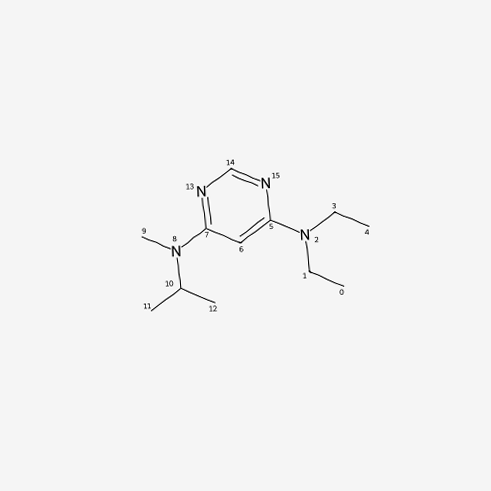 CCN(CC)c1cc(N(C)C(C)C)ncn1